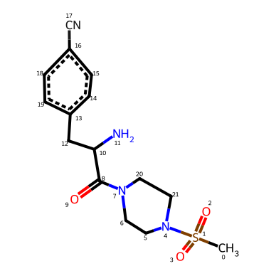 CS(=O)(=O)N1CCN(C(=O)C(N)Cc2ccc(C#N)cc2)CC1